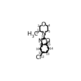 C[C@H]1COCCN1c1nc2cc(Cl)ccc2o1